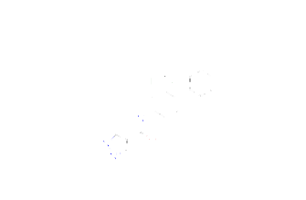 CCCC1(CCC)C=C(NC(=O)c2c(C)nn(C)c2C)C(C)(C)C=C1c1ccccc1C(C(F)(F)F)C(F)(F)F